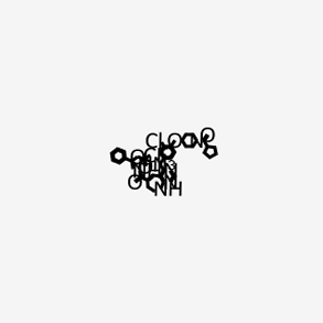 O=C(NCC(OC(=O)C(F)(F)F)c1ccccc1)C1=Cc2c(ncnc2Nc2ccc(OC3CCN(C(=O)C4CCCC4)CC3)c(Cl)c2)NCC1